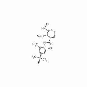 CCNc1cccc(C(=O)Nc2c(C)cc(C(F)(C(F)(F)F)C(F)(F)F)cc2CC)c1OC